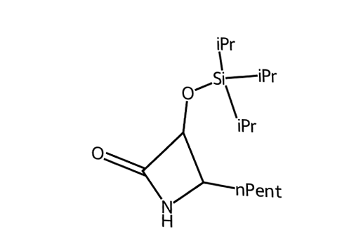 CCCCCC1NC(=O)C1O[Si](C(C)C)(C(C)C)C(C)C